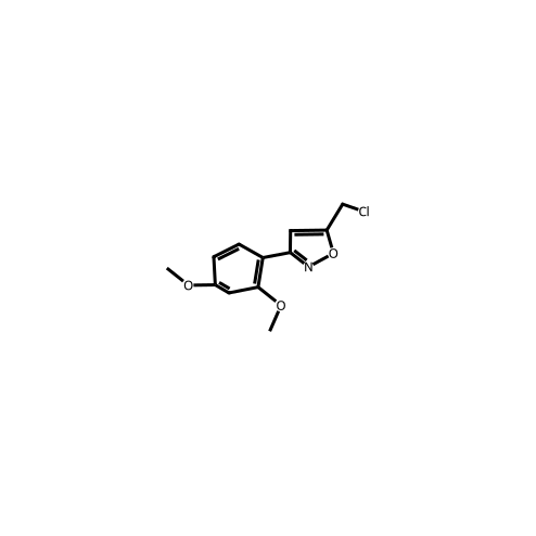 COc1ccc(-c2cc(CCl)on2)c(OC)c1